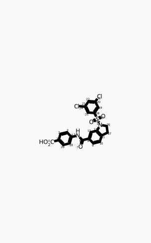 O=C(O)c1ccc(NC(=O)c2ccc3c(c2)N(S(=O)(=O)c2cc(Cl)cc(Cl)c2)CC3)cc1